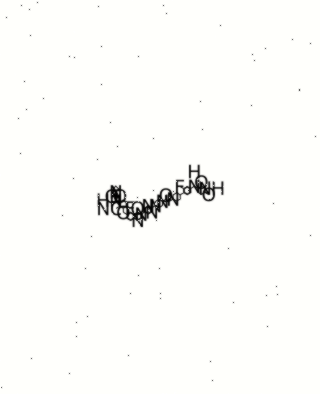 N#Cc1c(NS(=O)(=O)N2CCC2)ccc(F)c1Oc1ccc2ncn(-c3cnc(N4CCN(C(=O)CN5CCC(c6ccc(NC7CCC(=O)NC7=O)cc6F)CC5)CC4)nc3)c(=O)c2c1